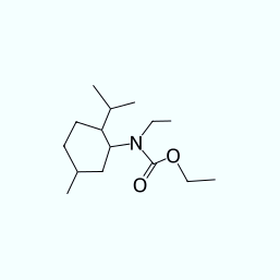 CCOC(=O)N(CC)C1CC(C)CCC1C(C)C